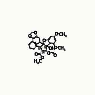 COC(=O)[C@H]1[C@@H](OC=O)[C@@]2(O)c3c(OC)cc(OC)cc3O[C@@]2(c2ccc3c(c2)OCO3)[C@@H]1c1ccccc1